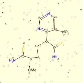 COC(CCC(C(N)=S)c1ncncc1[N+](=O)[O-])C(N)=S